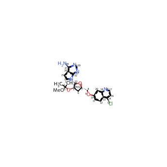 COC(C)(C)O[C@@H]1C[C@@H](COc2ccc3c(Cl)ccnc3c2)O[C@H]1n1ccc2c(N)ncnc21